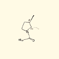 C[C@@H]1CCN(C(=O)C(C)(C)C)[C@H]1C